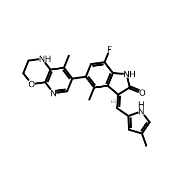 Cc1c[nH]c(/C=C2\C(=O)Nc3c(F)cc(-c4cnc5c(c4C)NCCO5)c(C)c32)c1